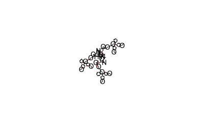 COc1ccc(C(OCCCOCC2OC2(C)CC(C#N)CO[PH](CC(C#N)CC2(C)OC2COCCCOC(c2ccccc2)(c2ccc(OC)cc2)c2ccc(OC)cc2)(OCC(C#N)CC2(C)OC2COCCCOC(c2ccccc2)(c2ccc(OC)cc2)c2ccc(OC)cc2)N(C(C)C)C(C)C)(c2ccccc2)c2ccc(OC)cc2)cc1